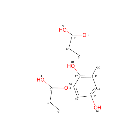 CCC(=O)O.CCC(=O)O.Cc1cc(O)ccc1O